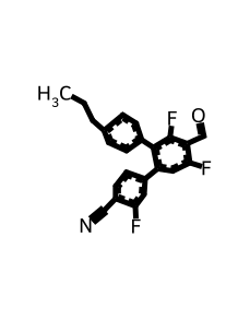 CCCc1ccc(-c2c(-c3ccc(C#N)c(F)c3)cc(F)c(C=O)c2F)cc1